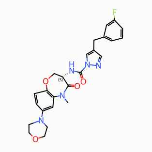 CN1C(=O)[C@@H](NC(=O)n2cc(Cc3cccc(F)c3)cn2)COc2ccc(N3CCOCC3)cc21